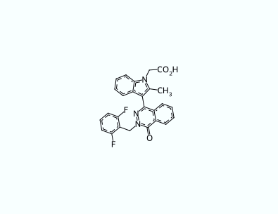 Cc1c(-c2nn(Cc3c(F)cccc3F)c(=O)c3ccccc23)c2ccccc2n1CC(=O)O